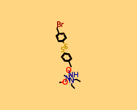 CCN(CC)[N+](C)(NOCc1ccc(SSc2ccc(CBr)cc2)cc1)OC